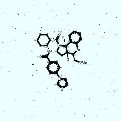 COC[C@@H]1Nc2ccccc2[C@H]2[C@H]1CCN2C(=O)[C@H]1CCCC[C@H]1NC(=O)c1ccc(-n2ccnc2)cc1